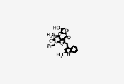 Cc1cc(Cc2sc3c(c2C(=O)N2C[C@H](O)CO2)c(=O)n(C)c(=O)n3CC(C)C)c2ccccc2n1